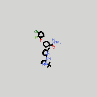 CC(C)(C)n1nccc1Nc1cccc(C[C@]2(C(=O)NN)CC[C@H](Oc3cccc(Cl)c3F)CC2)n1